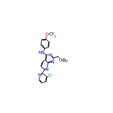 CC(C)COCc1nc(Nc2ccc(OC(F)(F)F)cc2)c2ccc(-c3ncccc3Cl)nc2n1